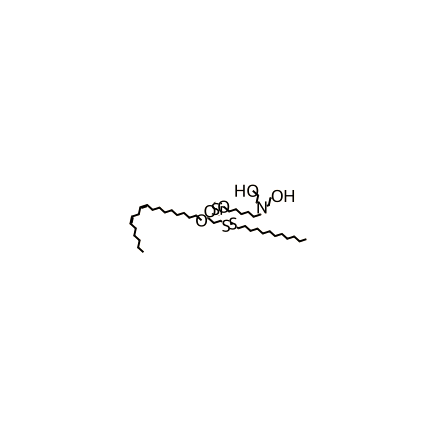 CCCCC/C=C\C/C=C\CCCCCCCCOC(CCSSCCCCCCCCCCCC)O[Si](C)(C)OCCCCCCN(CCO)CCO